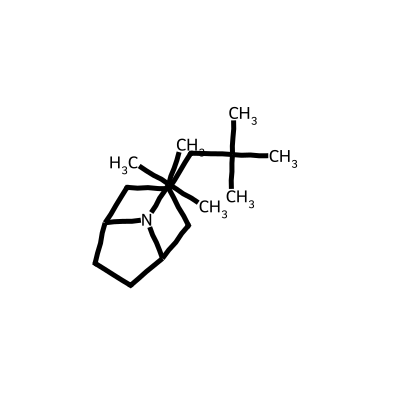 CC(C)(C)CC1CC2CCC(C1)N2C(C)(C)C